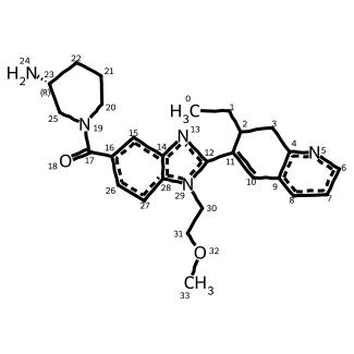 CCC1Cc2ncccc2C=C1c1nc2cc(C(=O)N3CCC[C@@H](N)C3)ccc2n1CCOC